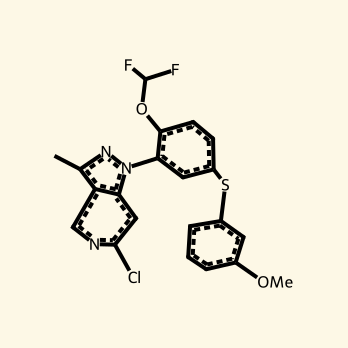 COc1cccc(Sc2ccc(OC(F)F)c(-n3nc(C)c4cnc(Cl)cc43)c2)c1